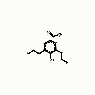 CCCc1cccc(CCC)c1O.O=CO